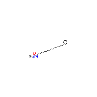 CCNC(=O)CCCCCCCCCCCCCCCCCc1ccccc1